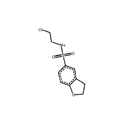 O=S(=O)(NCCCl)c1ccc2c(c1)CCO2